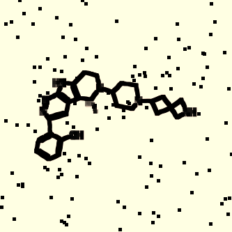 C[C@@H]1c2c([nH]c3nnc(-c4ccccc4O)cc23)CCN1C1CCN(C2CC3(CNC3)C2)CC1